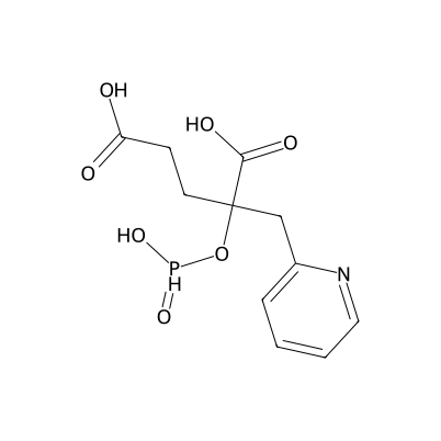 O=C(O)CCC(Cc1ccccn1)(O[PH](=O)O)C(=O)O